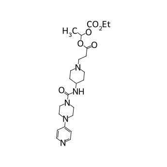 CCOC(=O)OC(C)OC(=O)CCN1CCC(NC(=O)N2CCN(c3ccncc3)CC2)CC1